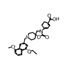 CCOc1cc(CN2CCC3(CC2)CN(C2=CC=C(C(=O)O)CC2)C(=O)O3)cc2c(OC)cccc12